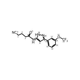 N#CCCCC(=O)Nc1cc(-c2cccc(OC(F)(F)F)c2)n[nH]1